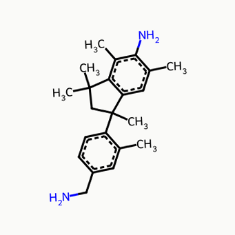 Cc1cc(CN)ccc1C1(C)CC(C)(C)c2c1cc(C)c(N)c2C